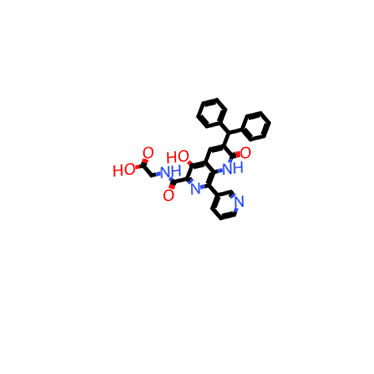 O=C(O)CNC(=O)c1nc(-c2cccnc2)c2[nH]c(=O)c(C(c3ccccc3)c3ccccc3)cc2c1O